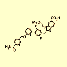 COCCn1c(Cc2cc(F)c(-c3cccc(OCc4ccc(C(N)=O)nc4)n3)cc2F)nc2ccc(C(=O)O)cc21